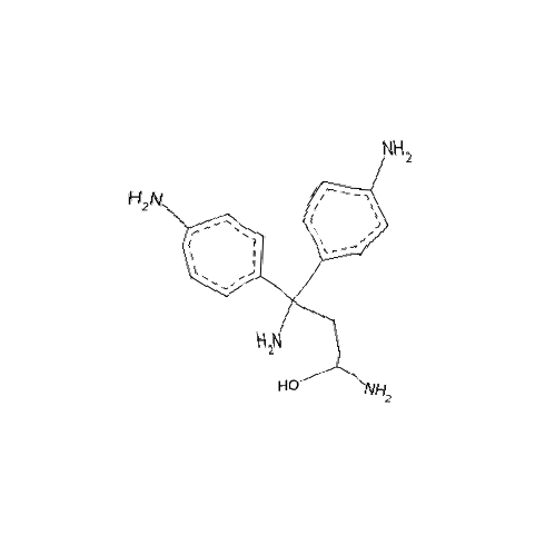 Nc1ccc(C(N)(CC(N)O)c2ccc(N)cc2)cc1